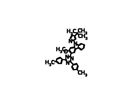 COc1cc2c(cc1-c1nc(-c3ccc(C)cc3)nc(-c3ccc(C)cc3)n1)c1ccccc1n2-c1cc(C(C)(C)C)ccn1